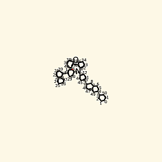 c1ccc(-c2ccc3cc(-c4ccc(N(c5ccc(-c6cccc7ccccc67)cc5)c5cccc6oc7ccccc7c56)cc4)ccc3c2)cc1